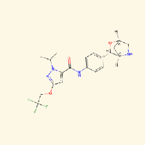 CC(C)n1nc(OCC(F)(F)F)cc1C(=O)Nc1ccc([C@@H]2O[C@H]3CN[C@@H]2C3)cc1